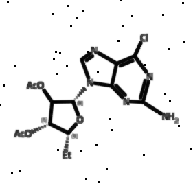 CC[C@H]1O[C@@H](n2cnc3c(Cl)nc(N)nc32)C(OC(C)=O)[C@H]1OC(C)=O